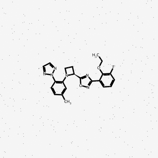 CCOc1c(F)cccc1-c1noc([C@@H]2CCN2c2cc(C)c[c]c2-n2nccn2)n1